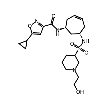 O=C(N[C@H]1CC=CC[C@H](NS(=O)(=O)[C@@H]2CCCN(CCO)C2)C1)c1cc(C2CC2)on1